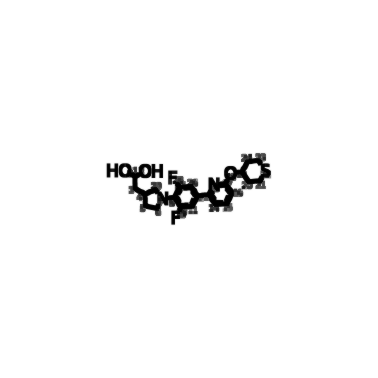 OC(O)CC1CCN(c2c(F)cc(-c3cccc(OC4CCSCC4)n3)cc2F)C1